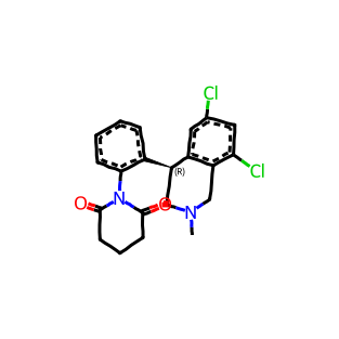 CN1Cc2c(Cl)cc(Cl)cc2[C@H](c2ccccc2N2C(=O)CCCC2=O)C1